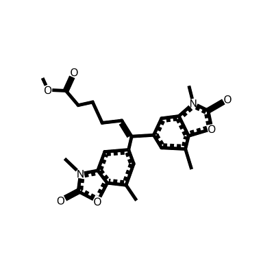 COC(=O)CCCC=C(c1cc(C)c2oc(=O)n(C)c2c1)c1cc(C)c2oc(=O)n(C)c2c1